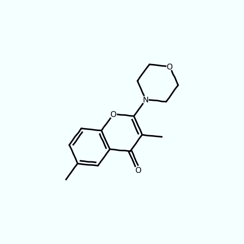 Cc1ccc2oc(N3CCOCC3)c(C)c(=O)c2c1